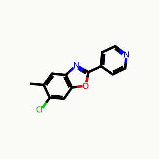 Cc1cc2nc(-c3ccncc3)oc2cc1Cl